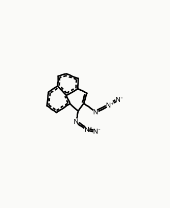 [N-]=[N+]=NC1=Cc2cccc3cccc(c23)C1N=[N+]=[N-]